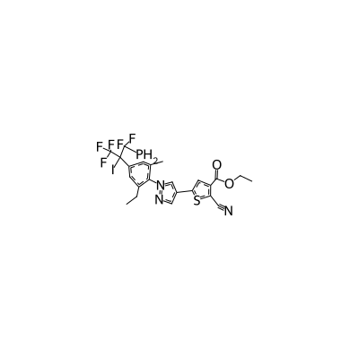 CCOC(=O)c1cc(-c2cnn(-c3c(C)cc(C(I)(C(F)(F)F)C(F)(F)P)cc3CC)c2)sc1C#N